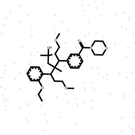 CCOc1ccccc1C(CCOC)C(C)(CC(C)(C)O)[C](CCOC)c1cccc(C(=O)N2CCOCC2)c1